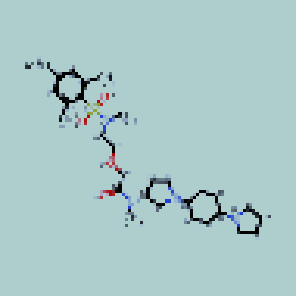 COc1cc(C)c(S(=O)(=O)N(C)CCOCC(=O)N(C)[C@@H]2CCN(C3CCC(N4CCCC4)CC3)C2)c(C)c1